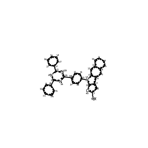 Brc1cc2c3cc4ccccc4cc3n(-c3ccc(-c4nc(-c5ccccc5)nc(-c5ccccc5)n4)cc3)c2o1